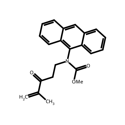 C=C(C)C(=O)CCN(C(=O)OC)c1c2ccccc2cc2ccccc12